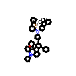 CC1(C)c2ccccc2-c2ccc(N(c3ccc(-c4cc(-c5ccccc5)c5c(c4)C4(c6ccccc6)c6ccccc6N(c6ccccc6)c6cccc-5c64)cc3)c3cccc4c3sc3ccccc34)cc21